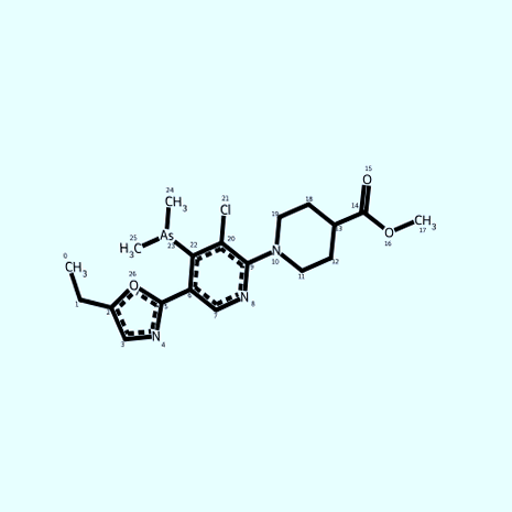 CCc1cnc(-c2cnc(N3CCC(C(=O)OC)CC3)c(Cl)c2[As](C)C)o1